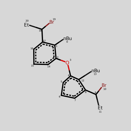 CCCCc1c(Oc2cccc(C(Br)CC)c2CCCC)cccc1C(Br)CC